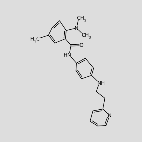 Cc1ccc(N(C)C)c(C(=O)Nc2ccc(NCCc3ccccn3)cc2)c1